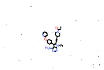 C=CC(=O)N1CCC(C#Cc2c(-c3ccc(Oc4ccccn4)cc3)c3c(N)ncnc3n2C(C)C)CC1